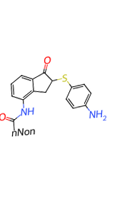 CCCCCCCCCC(=O)Nc1cccc2c1CC(Sc1ccc(N)cc1)C2=O